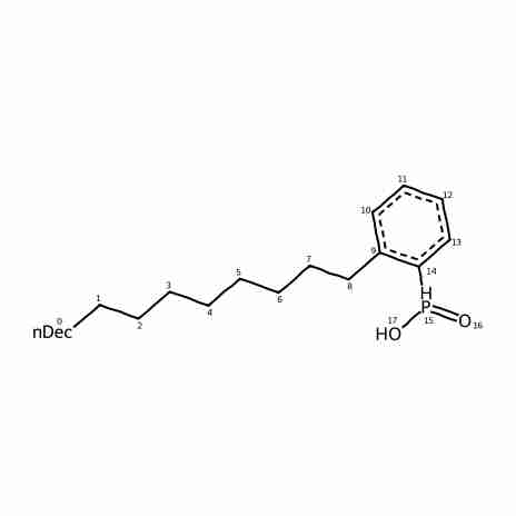 CCCCCCCCCCCCCCCCCCc1ccccc1[PH](=O)O